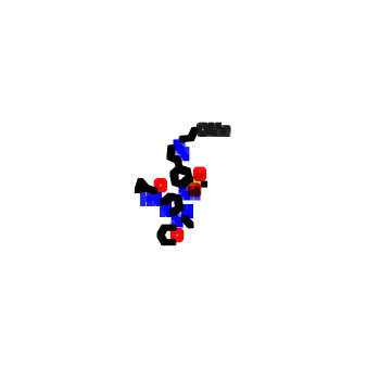 COCCCn1ccc(-c2ccc(Nc3cc(NC(=O)C4CC4)nc4c3nc(C)n4C3CCCCO3)c(S(C)(=O)=O)c2)n1